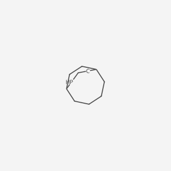 C1CCC2CCC(C1)CCP2